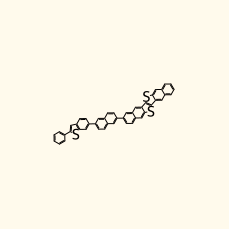 c1ccc(-c2cc3ccc(-c4ccc5cc(-c6ccc7cc8sc9c%10cc%11ccccc%11cc%10sc9c8cc7c6)ccc5c4)cc3s2)cc1